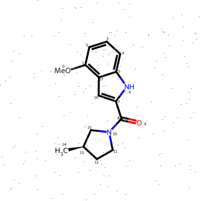 COc1cccc2[nH]c(C(=O)N3CC[C@@H](C)C3)cc12